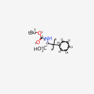 CC(C)(C)OC(=O)N[C@@H](C(=O)O)C(C)(C)c1ccccc1